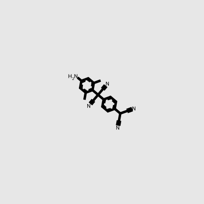 Cc1cc(N)cc(C)c1C(C#N)(C#N)c1ccc(C(C#N)C#N)cc1